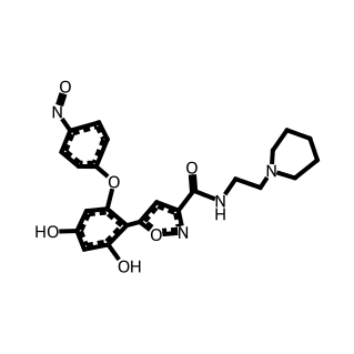 O=Nc1ccc(Oc2cc(O)cc(O)c2-c2cc(C(=O)NCCN3CCCCC3)no2)cc1